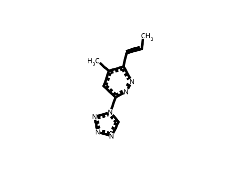 C/C=C/c1nnc(-n2cnnn2)cc1C